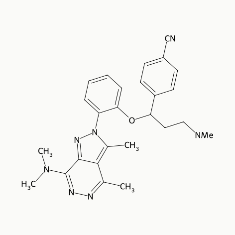 CNCCC(Oc1ccccc1-n1nc2c(N(C)C)nnc(C)c2c1C)c1ccc(C#N)cc1